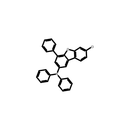 Clc1ccc2c(c1)oc1c(-c3ccccc3)cc(N(c3ccccc3)c3ccccc3)cc12